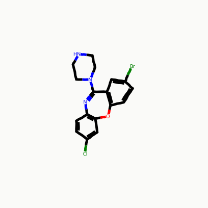 Clc1ccc2c(c1)Oc1ccc(Br)cc1C(N1CCNCC1)=N2